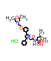 CC(C)CC(NC(=O)Cn1nc(-c2cccc(OCCN3CC(C)OC(C)C3)c2)cc1-c1ccccc1)B(O)O.Cl